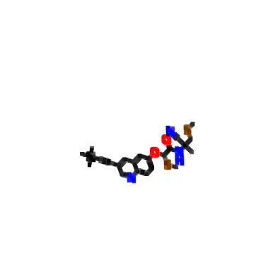 CSCC(C)(C#N)NC(=O)C(Oc1ccc2ncc(C#C[Si](C)(C)C)cc2c1)SC